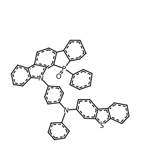 O=P1(c2ccccc2)c2ccccc2-c2ccc3c4ccccc4n(-c4ccc(N(c5ccccc5)c5ccc6c(c5)sc5ccccc56)cc4)c3c21